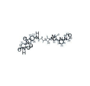 Cc1nn(C2CC(CCCNc3ccc4c(c3)C(=O)N(C3CCC(=O)NC3=O)C4=O)C2)cc1-c1cccc(N2CCOCC2)n1